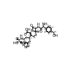 NC(C(=O)NC1C(=O)N2C(C(=O)O)=C(C(CCNS(=O)(=O)O)Sc3nnn[nH]3)CS[C@@H]12)c1ccc(CO)cc1